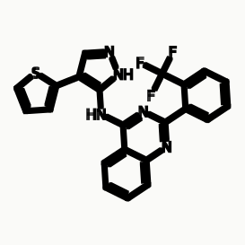 FC(F)(F)c1ccccc1-c1nc(Nc2[nH]ncc2-c2cccs2)c2ccccc2n1